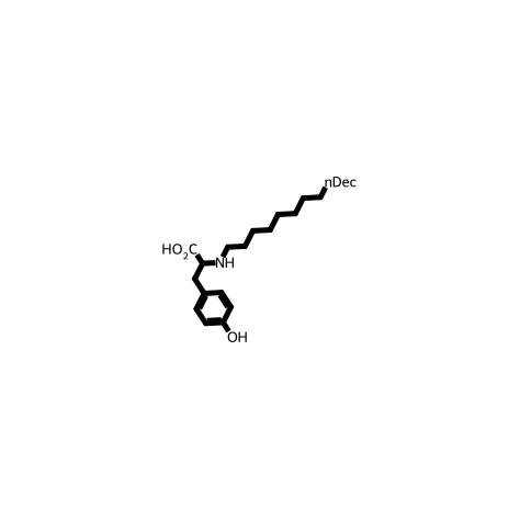 CCCCCCCCCCCCCCCCCCNC(Cc1ccc(O)cc1)C(=O)O